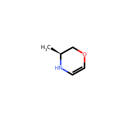 C[C@H]1COC=CN1